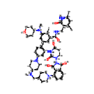 CCN(c1cc(-c2ccc(N3CCC(N(C)CC4CCN(c5cccc6c5C(=O)N(N5CCC(=O)NC5=O)C6=O)CC4)CC3)cc2)cc(C(=O)NCc2c(C)cc(C)[nH]c2=O)c1C)C1CCOCC1